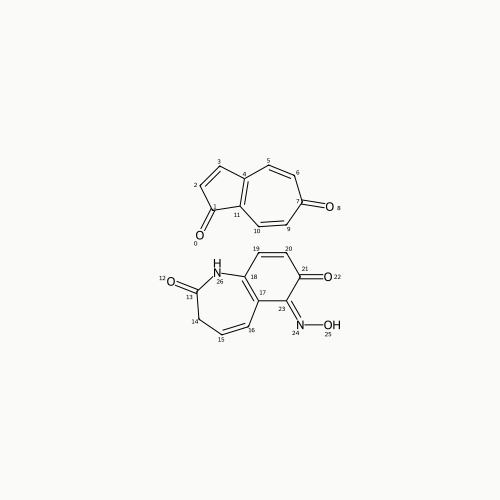 O=C1C=Cc2ccc(=O)ccc21.O=C1CC=CC2=C(C=CC(=O)C2=NO)N1